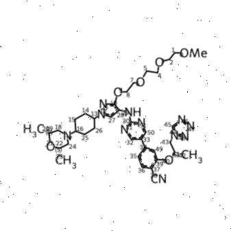 COCCOCCOCCOc1nn(C2CCC(N3C[C@@H](C)O[C@@H](C)C3)CC2)cc1Nc1ncc(-c2ccc(C#N)c(O[C@@H](C)Cn3cnnn3)c2)cn1